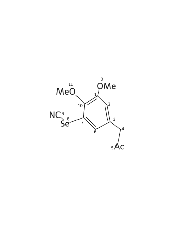 COc1cc(CC(C)=O)cc([Se]C#N)c1OC